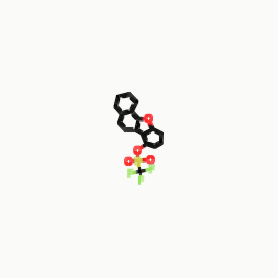 O=S(=O)(Oc1cccc2oc3c4ccccc4ccc3c12)C(F)(F)F